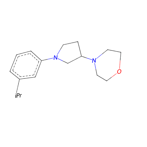 CC(C)c1cccc(N2CCC(N3CCOCC3)C2)c1